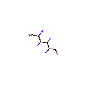 CCCC(I)C(I)C(I)C(I)CI